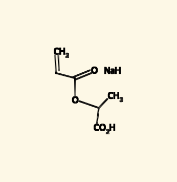 C=CC(=O)OC(C)C(=O)O.[NaH]